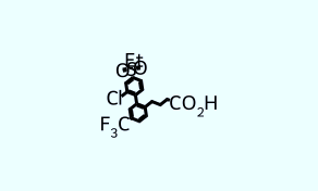 CCS(=O)(=O)c1ccc(-c2cc(C(F)(F)F)ccc2CCCC(=O)O)c(Cl)c1